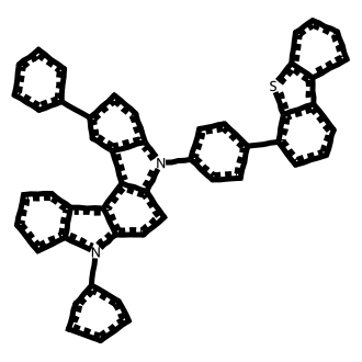 c1ccc(-c2ccc3c(c2)c2c4c5ccccc5n(-c5ccccc5)c4ccc2n3-c2ccc(-c3cccc4c3sc3ccccc34)cc2)cc1